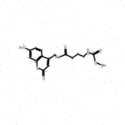 CC(=O)Oc1ccc2c(CNC(=O)CCCNC(=O)OC(C)(C)C)cc(=O)oc2c1